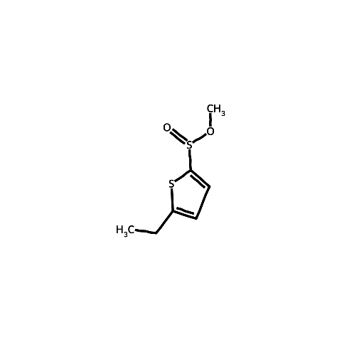 CCc1ccc(S(=O)OC)s1